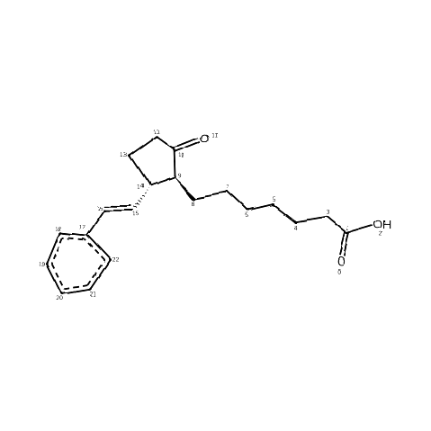 O=C(O)CCCCCC[C@@H]1C(=O)CC[C@H]1C=Cc1ccccc1